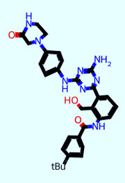 CC(C)(C)c1ccc(C(=O)Nc2cccc(-c3nc(N)nc(Nc4ccc(N5CCNC(=O)C5)cc4)n3)c2CO)cc1